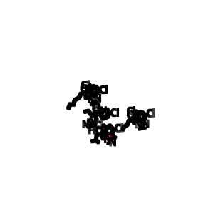 CC(C)CC(O)(Cn1ccnc1)c1ccc(Cl)cc1Cl.CCCC(O)(Cn1ccnc1)c1ccc(Cl)cc1Cl.CCCCC(O)(Cn1ccnc1)c1ccc(Cl)cc1Cl.CCCCCCC(O)(Cn1ccnc1)c1ccc(Cl)cc1Cl